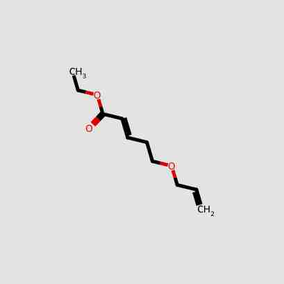 C=CCOCC/C=C/C(=O)OCC